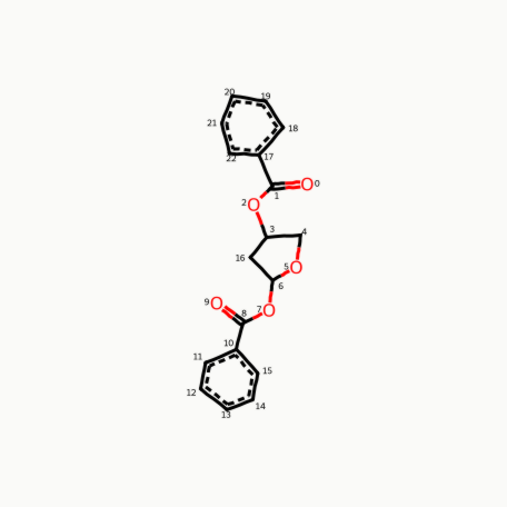 O=C(OC1COC(OC(=O)c2ccccc2)C1)c1ccccc1